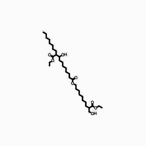 CCCCCCCCC(C(=O)OCC)C(O)CCCCCCCC(=O)OCCCCCCCCC(CO)C(=O)OCC